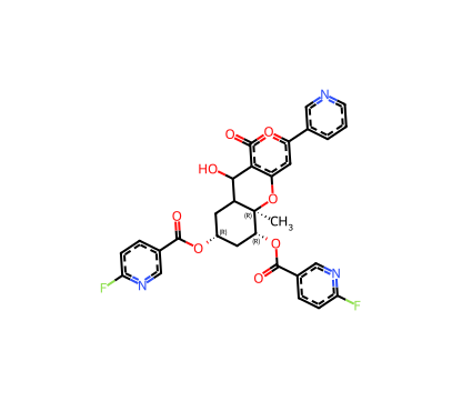 C[C@@]12Oc3cc(-c4cccnc4)oc(=O)c3C(O)C1C[C@@H](OC(=O)c1ccc(F)nc1)C[C@H]2OC(=O)c1ccc(F)nc1